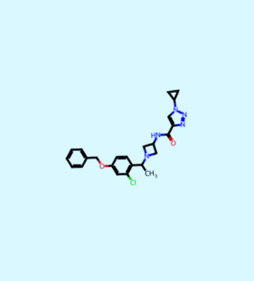 CC(c1ccc(OCc2ccccc2)cc1Cl)N1CC(NC(=O)c2cn(C3CC3)nn2)C1